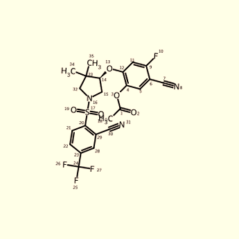 CC(=O)Oc1cc(C#N)c(F)cc1O[C@H]1CN(S(=O)(=O)c2ccc(C(F)(F)F)cc2C#N)CC1(C)C